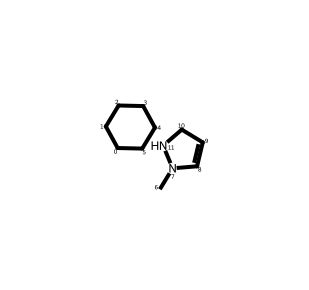 C1CCCCC1.CN1C=CCN1